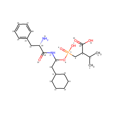 CC(C)C(CP(=O)(O)OC(CC1CCCCC1)NC(=O)[C@@H](N)Cc1ccccc1)C(=O)O